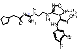 CN1ON=C(NCCN/C(N)=N/C(=O)CC2CCCC2)C1C(=NO)Nc1ccc(F)c(Br)c1